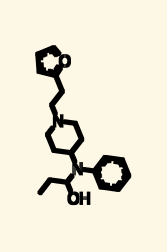 CCC(O)N(c1ccccc1)C1CCN(CCc2ccco2)CC1